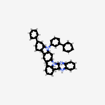 c1ccc(-c2cccc(-n3c4cc(-c5ccccc5)ccc4c4cc5c6cccc7c8nc9ccccc9nc8n(c5cc43)c67)c2)cc1